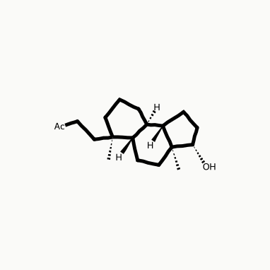 CC(=O)CC[C@@]1(C)CCC[C@@H]2[C@@H]1CC[C@]1(C)[C@@H](O)CC[C@@H]21